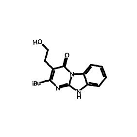 CCC(C)c1nc2[nH]c3ccccc3n2c(=O)c1CCO